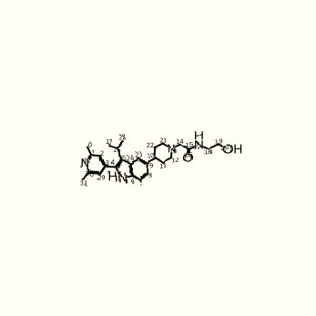 Cc1cc(-c2[nH]c3ccc(C4CCN(CC(=O)NCCO)CC4)cc3c2C(C)C)cc(C)n1